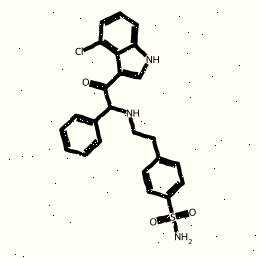 NS(=O)(=O)c1ccc(CCNC(C(=O)c2c[nH]c3cccc(Cl)c23)c2ccccc2)cc1